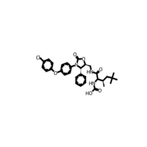 C[C@H](CC(C)(C)C)C(NC(=O)O)C(=O)NC[C@@H]1OC(=O)N(c2ccc(Oc3ccc(Cl)cc3)cc2)[C@H]1c1ccccc1